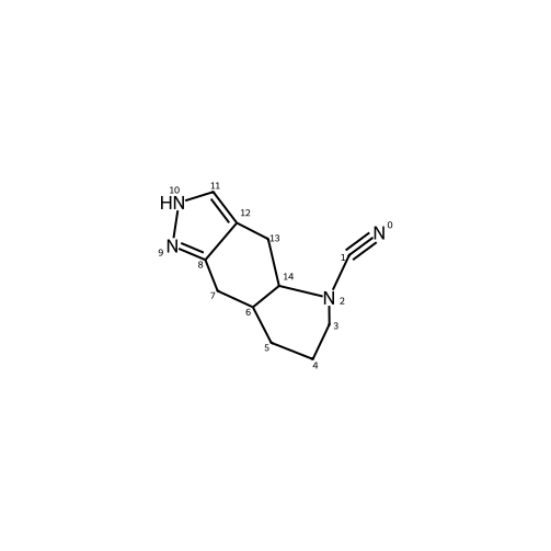 N#CN1CCCC2Cc3n[nH]cc3CC21